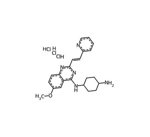 COc1ccc2nc(/C=C/c3ccccn3)nc(NC3CCC(N)CC3)c2c1.Cl.Cl.Cl